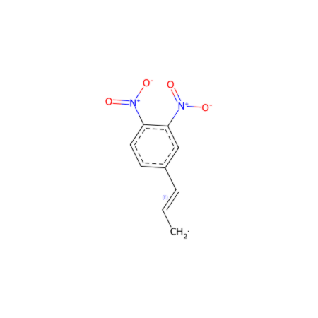 [CH2]/C=C/c1ccc([N+](=O)[O-])c([N+](=O)[O-])c1